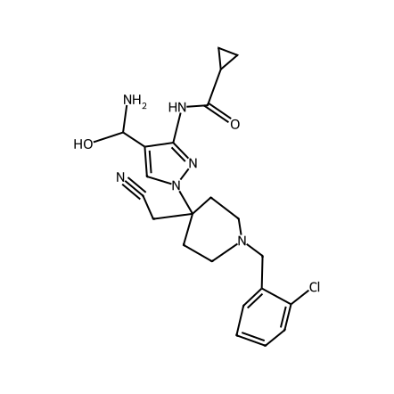 N#CCC1(n2cc(C(N)O)c(NC(=O)C3CC3)n2)CCN(Cc2ccccc2Cl)CC1